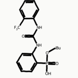 CCC(C)OP(=O)(O)c1ccccc1NC(=O)Nc1ccccc1C(F)(F)F